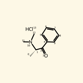 C[C@@H](C(=O)c1ccccc1)N(C)C.Cl